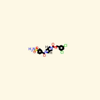 NS(=O)(=O)c1ccc(C(=O)N2C[C@H]3CN(C(=O)OCc4cc(Cl)cc(Cl)c4)C[C@H]3C2)cc1